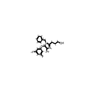 CC(C)c1nc(CCCO)n(Cc2ccccc2)c1Sc1cc(F)cc(F)c1